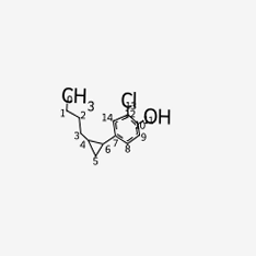 CCCCC1CC1c1ccc(O)c(Cl)c1